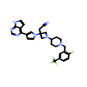 N#CCC1(n2ccc(-c3ncnc4[nH]ccc34)c2)CN(C2CCN(Cc3cc(C(F)(F)F)ccc3F)CC2)C1